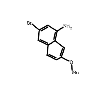 CC(C)(C)Oc1ccc2cc(Br)cc(N)c2c1